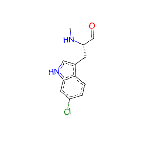 CN[C@H](C=O)Cc1c[nH]c2cc(Cl)ccc12